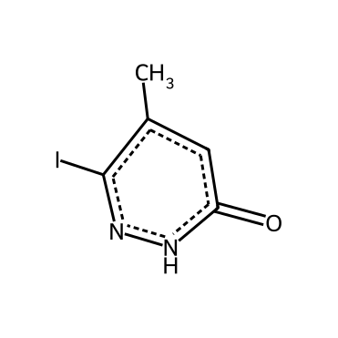 Cc1cc(=O)[nH]nc1I